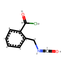 O=C=NCc1ccccc1C(=O)Cl